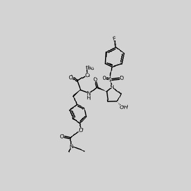 CN(C)C(=O)Oc1ccc(C[C@H](NC(=O)[C@@H]2C[C@@H](O)CN2S(=O)(=O)c2ccc(F)cc2)C(=O)OC(C)(C)C)cc1